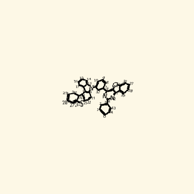 c1ccc(-c2nc(-c3cccc(-n4c5ccccc5c5c6c(ccc54)sc4ccccc46)c3)c3oc4ccccc4c3n2)cc1